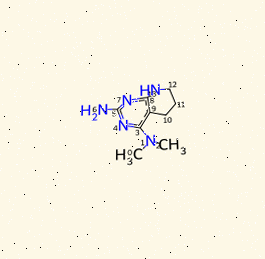 CN(C)c1nc(N)nc2c1CCCN2